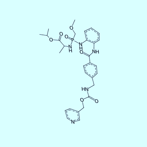 COCP(=O)(Nc1ccccc1NC(=O)c1ccc(CNC(=O)OCc2cccnc2)cc1)NC(C)C(=O)OC(C)C